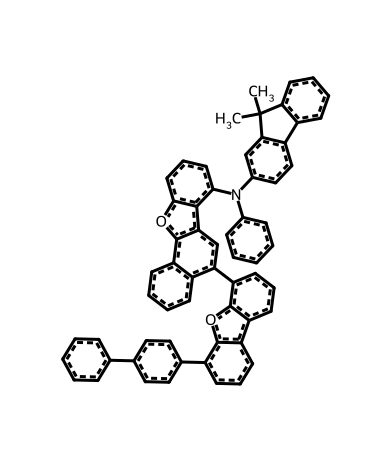 CC1(C)c2ccccc2-c2ccc(N(c3ccccc3)c3cccc4oc5c6ccccc6c(-c6cccc7c6oc6c(-c8ccc(-c9ccccc9)cc8)cccc67)cc5c34)cc21